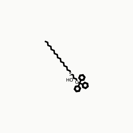 CCCCCCCCCCCCCCCCSCC(O)COC(c1ccccc1)(c1ccccc1)c1ccccc1